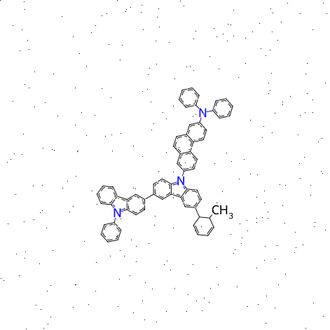 CC1C=CC=CC1c1ccc2c(c1)c1cc(-c3ccc4c(c3)c3ccccc3n4-c3ccccc3)ccc1n2-c1ccc2c(ccc3cc(N(c4ccccc4)c4ccccc4)ccc32)c1